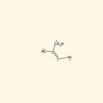 CC(=O)C=C(C#N)C(=O)O